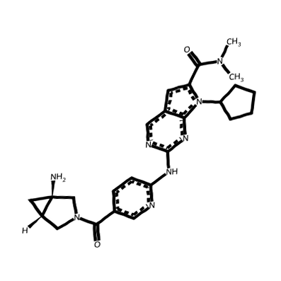 CN(C)C(=O)c1cc2cnc(Nc3ccc(C(=O)N4C[C@@H]5C[C@]5(N)C4)cn3)nc2n1C1CCCC1